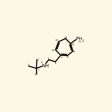 CC(C)(C)NCCC1=CC=C(P)CC=C1